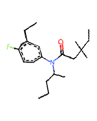 CCCC(C)N(C(=O)CC(C)(C)CC)c1ccc(F)c(CC)c1